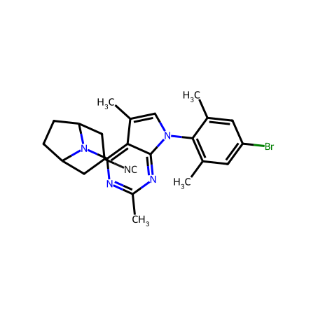 [C-]#[N+]C1CC2CCC(C1)N2c1nc(C)nc2c1c(C)cn2-c1c(C)cc(Br)cc1C